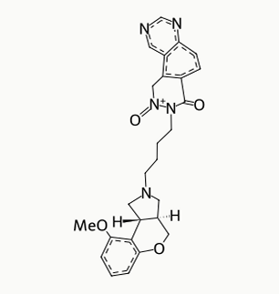 COc1cccc2c1[C@@H]1CN(CCCCN3C(=O)c4ccc5ncncc5c4C[N+]3=O)C[C@H]1CO2